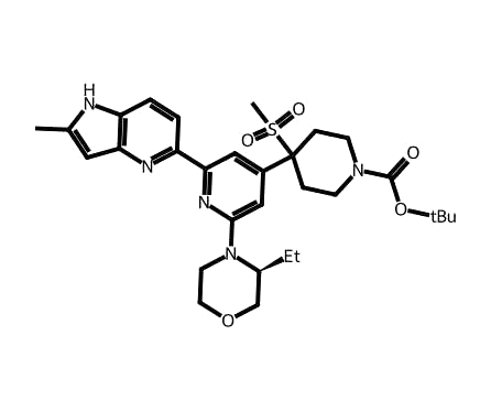 CC[C@H]1COCCN1c1cc(C2(S(C)(=O)=O)CCN(C(=O)OC(C)(C)C)CC2)cc(-c2ccc3[nH]c(C)cc3n2)n1